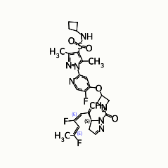 C=C(/C=C(F)\C=C(/C)F)[C@@H]1CC=NN1C(=O)N1CC(Oc2cc(-n3nc(C)c(S(=O)(=O)NC4CCC4)c3C)ncc2F)C1